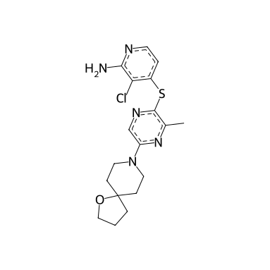 Cc1nc(N2CCC3(CCCO3)CC2)cnc1Sc1ccnc(N)c1Cl